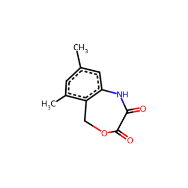 Cc1cc(C)c2c(c1)NC(=O)C(=O)OC2